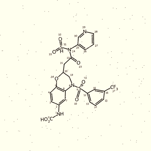 O=C(O)Nc1ccc2c(c1)N(S(=O)(=O)c1cccc(C(F)(F)F)c1)CC(CC(=O)N(c1cccnc1)[SH](=O)=O)O2